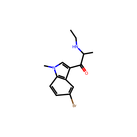 CCNC(C)C(=O)c1cn(C)c2ccc(Br)cc12